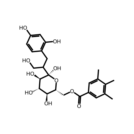 Cc1cc(C(=O)OC[C@H]2O[C@](O)(C(CO)Cc3ccc(O)cc3O)[C@H](O)[C@@H](O)[C@@H]2O)cc(C)c1C